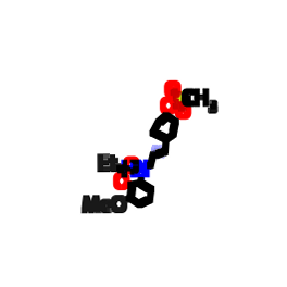 CCC(=O)Oc1c(NC/C=C/c2ccc(OS(C)(=O)=O)cc2)cccc1OC